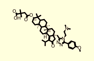 COc1ccc(-c2nnc(C[C@@]34CC[C@]5(C)[C@H](CCC6[C@@]7(C)CC[C@H](OC(=O)CC(C)(C)C(=O)O)C(C)(C)C7CC[C@]65C)C3=C(C(C)C)C(=O)C4)n2CCN(C)C)cc1